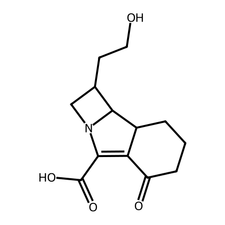 O=C(O)C1=C2C(=O)CCCC2C2C(CCO)CN12